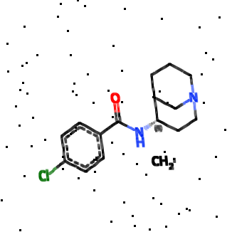 O=C(N[C@H]1CCN2CCCC1C2)c1ccc(Cl)cc1.[CH2]